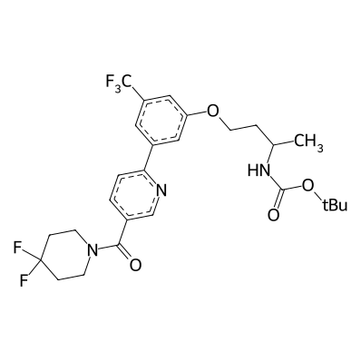 CC(CCOc1cc(-c2ccc(C(=O)N3CCC(F)(F)CC3)cn2)cc(C(F)(F)F)c1)NC(=O)OC(C)(C)C